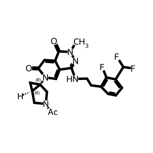 CC(=O)N1C[C@H]2C[C@]2(n2cc3c(NCCc4cccc(C(F)F)c4F)nn(C)c(=O)c3cc2=O)C1